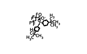 CC(C)(C)c1ccc([I+]c2ccc(C(C)(C)C)cc2)cc1.O=S(=O)([O-])C(F)(F)CC(F)(F)F